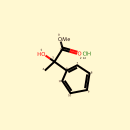 COC(=O)C(C)(O)c1ccccc1.Cl